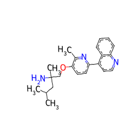 Cc1nc(-c2ccnc3ccccc23)ccc1OCC(C)(N)CC(C)C